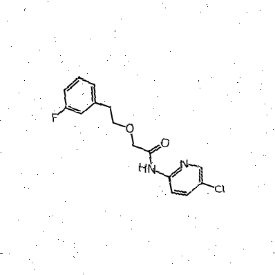 O=C(COCCc1cccc(F)c1)Nc1ccc(Cl)cn1